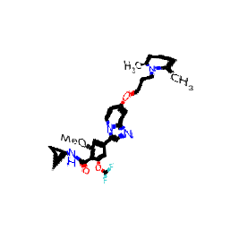 COc1cc(-c2cnc3cc(OCCCN4C(C)CCC[C@@H]4C)ccn23)cc(OC(F)F)c1C(=O)NC1CC1